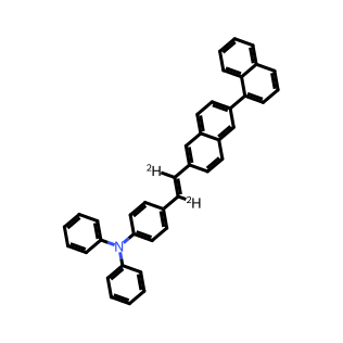 [2H]/C(=C(/[2H])c1ccc2cc(-c3cccc4ccccc34)ccc2c1)c1ccc(N(c2ccccc2)c2ccccc2)cc1